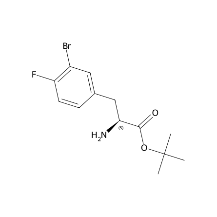 CC(C)(C)OC(=O)[C@@H](N)Cc1ccc(F)c(Br)c1